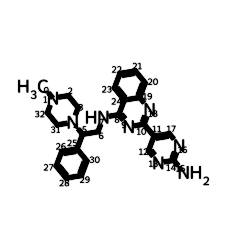 CN1CCN(C(CNc2nc(-c3cnc(N)nc3)nc3ccccc23)c2ccccc2)CC1